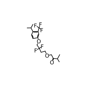 CC(C)C(=O)COCCC(F)(F)COc1ccc(C(C)C)c(C(F)(F)F)c1